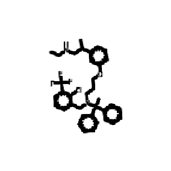 CCNCC(C)c1cccc(OCCCN(Cc2cccc(C(F)(F)F)c2Cl)C(C)(c2ccccc2)c2ccccc2)c1